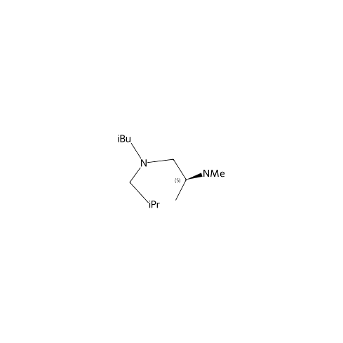 CCC(C)N(CC(C)C)C[C@H](C)NC